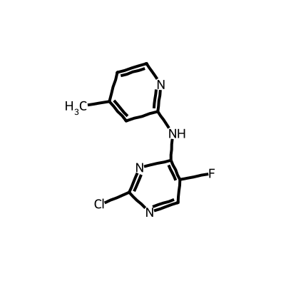 Cc1ccnc(Nc2nc(Cl)ncc2F)c1